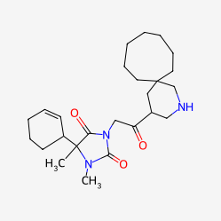 CN1C(=O)N(CC(=O)C2CNCC3(CCCCCCC3)C2)C(=O)C1(C)C1C=CCCC1